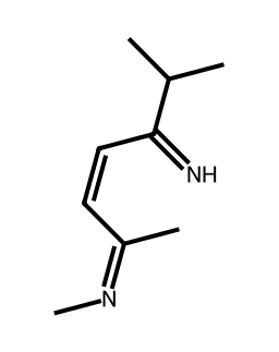 C/N=C(C)\C=C/C(=N)C(C)C